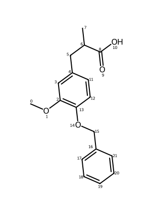 COc1cc(CC(C)C(=O)O)ccc1OCc1ccccc1